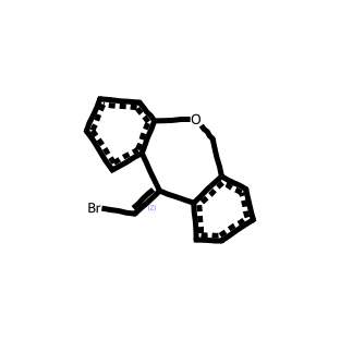 Br/C=C1/c2ccccc2COc2ccccc21